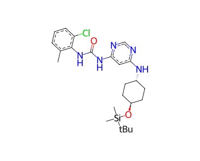 Cc1cccc(Cl)c1NC(=O)Nc1cc(N[C@H]2CC[C@H](O[Si](C)(C)C(C)(C)C)CC2)ncn1